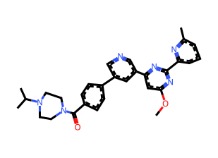 COc1cc(-c2cncc(-c3ccc(C(=O)N4CCN(C(C)C)CC4)cc3)c2)nc(-c2cccc(C)n2)n1